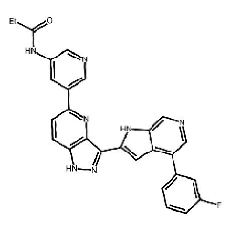 CCC(=O)Nc1cncc(-c2ccc3[nH]nc(-c4cc5c(-c6cccc(F)c6)cncc5[nH]4)c3n2)c1